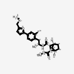 C=NCc1ccc(-c2ccc(C[C@@H](C#N)NC(=O)[C@@H]3[C@H]4CC[C@H](C4)N3C(=O)OC(C)(C)C)c(F)c2)o1